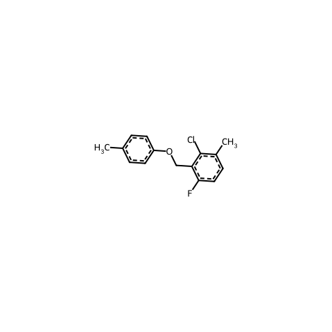 Cc1ccc(OCc2c(F)ccc(C)c2Cl)cc1